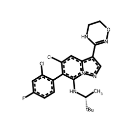 C[C@@H](Nc1c(-c2ccc(F)cc2Cl)c(Cl)cc2c(C3=NOCCN3)cnn12)C(C)(C)C